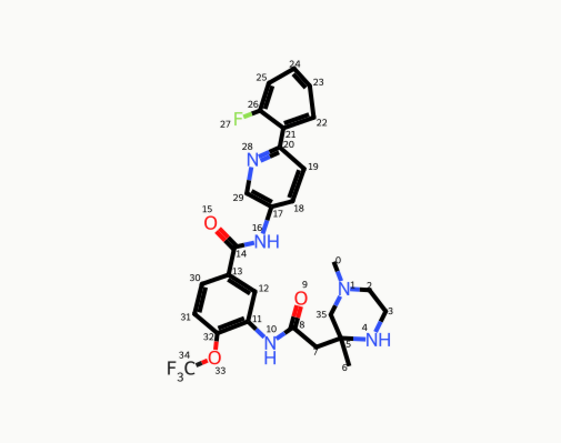 CN1CCNC(C)(CC(=O)Nc2cc(C(=O)Nc3ccc(-c4ccccc4F)nc3)ccc2OC(F)(F)F)C1